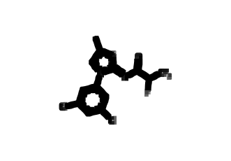 Cc1cn(-c2cc(Cl)cc(Cl)c2)c(=NC(=O)C(F)C(F)(F)F)s1